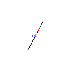 CCCCCCCC/C=C/CCCCCCCCNOCCCCCCCC/C=C/CCCCCCCC